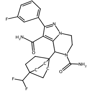 NC(=O)c1c(-c2cccc(F)c2)nn2c1C(C13CCC(C(F)F)(CC1)CC3)N(C(N)=O)CC2